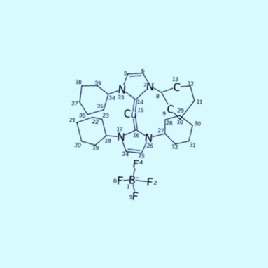 F[B-](F)(F)F.c1cn(C2CCCCC2)[c](=[Cu]=[c]2n(C3CCCCC3)ccn2C2CCCCC2)n1C1CCCCC1